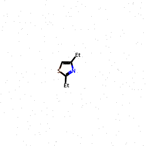 CCc1csc(CC)n1